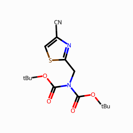 CC(C)(C)OC(=O)N(Cc1nc(C#N)cs1)C(=O)OC(C)(C)C